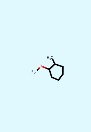 C[C]1CCCCC1OC(F)(F)F